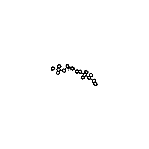 c1ccc(-c2c3ccccc3c(-c3cccc(-c4cccc5c4oc4cc(-c6ccc7cc(-c8c9ccccc9c(-c9ccc(-c%10ccc%11ccccc%11c%10)c%10ccccc9%10)c9ccccc89)ccc7c6)ccc45)c3)c3ccccc23)cc1